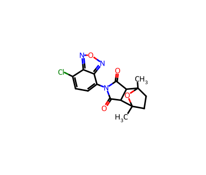 CC12CCC(C)(O1)C1C(=O)N(c3ccc(Cl)c4nonc34)C(=O)C12